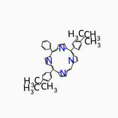 CC(C)(C)c1ccc(C2=C3C=CC(=N3)C=C3C=CC(=N3)C(c3ccc(C(C)(C)C)cc3)=C3C=CC(=N3)C(c3ccccc3)=C3C=CC2=N3)cc1